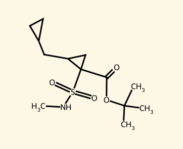 CNS(=O)(=O)C1(C(=O)OC(C)(C)C)CC1CC1CC1